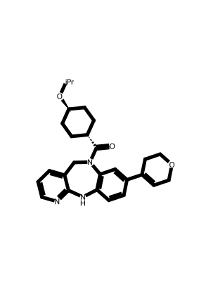 CC(C)O[C@H]1CC[C@H](C(=O)N2Cc3cccnc3Nc3ccc(C4=CCOCC4)cc32)CC1